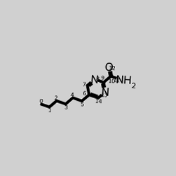 CCCCCCc1cnc(C(N)=O)nc1